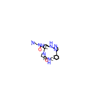 CN(C)CCNC(=O)c1ccc2cc1CN1CCC[C@H]1C(=O)NCc1cccc(c1)-c1ccnc(n1)N2